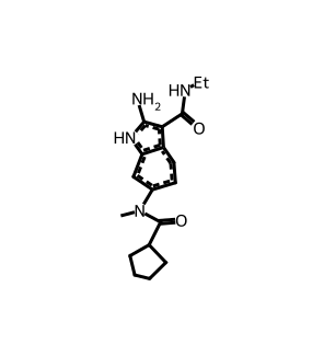 CCNC(=O)c1c(N)[nH]c2cc(N(C)C(=O)C3CCCC3)ccc12